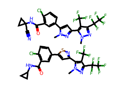 Cn1nc(-c2c(C(F)(F)F)c(C(F)(F)C(F)(F)F)nn2C)cc1-c1ccc(Cl)c(C(=O)NC2(C#N)CC2)c1.Cn1nc(C(F)(F)C(F)(F)F)c(C(F)(F)F)c1-c1cc(-c2ccc(Cl)c(C(=O)NC3CC3)c2)sn1